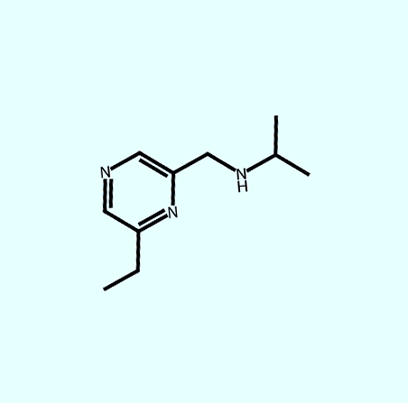 CCc1cncc(CNC(C)C)n1